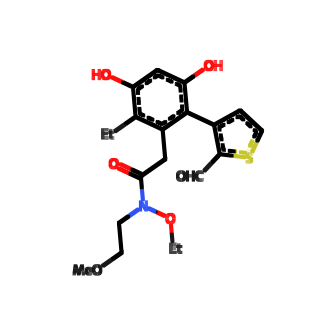 CCON(CCOC)C(=O)Cc1c(CC)c(O)cc(O)c1-c1ccsc1C=O